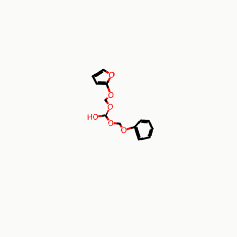 OC(OCOc1ccccc1)OCOc1ccco1